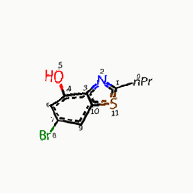 CCCc1nc2c(O)cc(Br)cc2s1